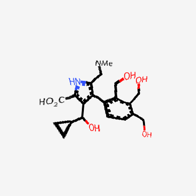 CNCc1[nH]c(C(=O)O)c(C(O)C2CC2)c1-c1ccc(CO)c(CO)c1CO